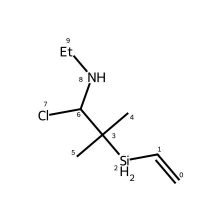 C=C[SiH2]C(C)(C)C(Cl)NCC